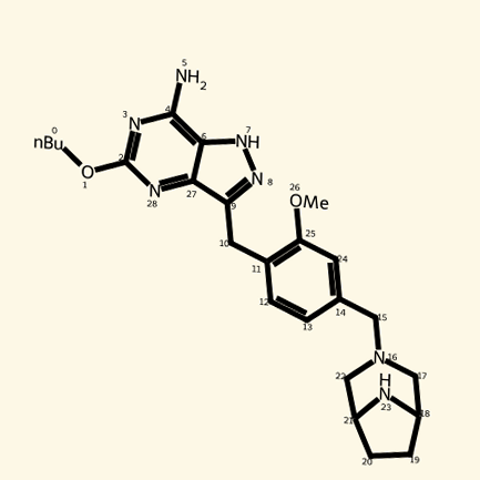 CCCCOc1nc(N)c2[nH]nc(Cc3ccc(CN4CC5CCC(C4)N5)cc3OC)c2n1